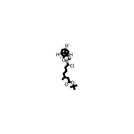 CC(CCC[C@@H](Cl)B1O[C@@H]2C[C@@H]3C[C@@H](C3(C)C)[C@]2(C)O1)CC(=O)OC(C)(C)C